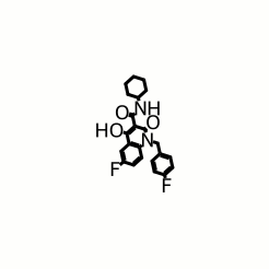 O=C(NC1CCCCC1)c1c(O)c2cc(F)ccc2n(Cc2ccc(F)cc2)c1=O